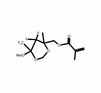 C=C(C)C(=O)OCC1(C)OCOC(OC)(C(F)(F)F)C1(F)F